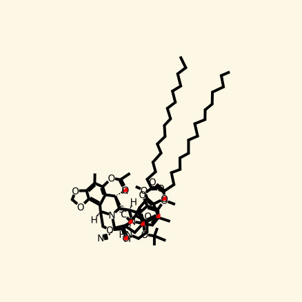 CCCCCCCCCCCCCCCC(=O)Oc1cc2c(cc1OC)[C@@]1(CS[C@@H]3c4c(OC(C)=O)c(C)c5c(c4[C@H](COC1=O)N1C3[C@H]3c4c(cc(C)c(OC)c4OC(=O)CCCCCCCCCCCCCCC)C[C@@H]([C@@H]1C#N)N3C(=O)OC(C)(C)C)OCO5)NCC2